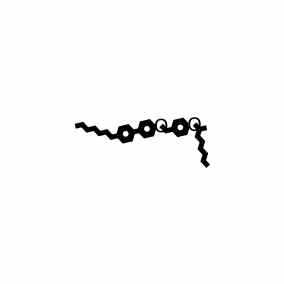 CCCCCCCc1ccc(-c2ccc(OCc3ccc(OC(C)CCCCCC)cc3)cc2)cc1